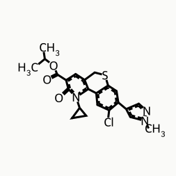 CC(C)OC(=O)c1cc2c(n(C3CC3)c1=O)-c1cc(Cl)c(-c3cnn(C)c3)cc1SC2